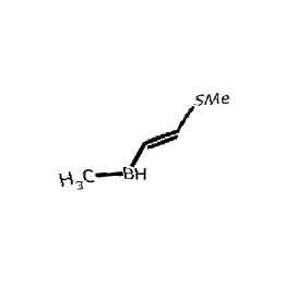 CB/C=C/SC